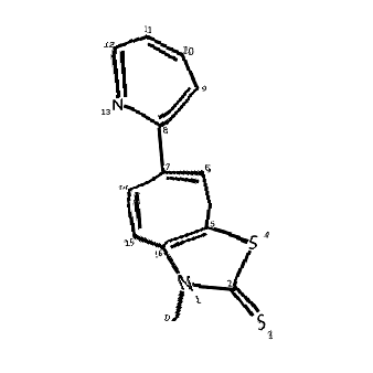 Cn1c(=S)sc2cc(-c3ccccn3)ccc21